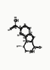 C[C@H]1CNC(=O)c2cc3ccc(C(=O)O)nc3n21